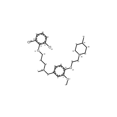 COc1cc(CN(C)CCCOc2c(Cl)cccc2Cl)ccc1OCCN1CCC(C)CC1